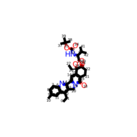 CCc1c2c(nc3ccc(C)cc13)-c1cc3c(c(=O)n1C2)CCC(=O)[C@@]3(CC)OC(=O)C(NC(=O)OC(C)(C)C)C(C)C